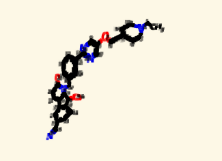 CCN1CCC(COc2cnc(-c3cccc(Cn4c5c(ccc4=O)-c4cc(C#N)ccc4C5=O)c3)nc2)CC1